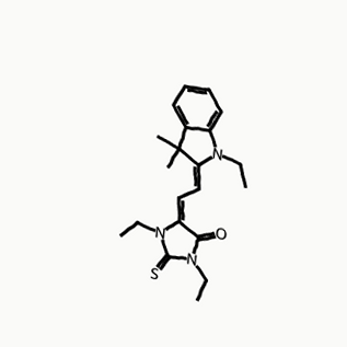 CCN1C(=O)/C(=C\C=C2\N(CC)c3ccccc3C2(C)C)N(CC)C1=S